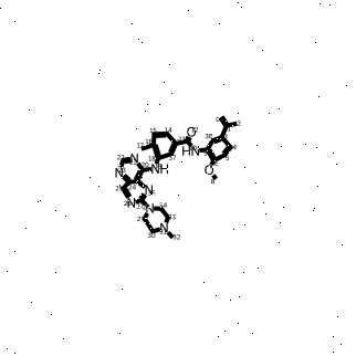 C=C(C)c1ccc(OC)c(NC(=O)c2ccc(C)c(Nc3ncnc4cnc(N5CCN(C)CC5)nc34)c2)c1